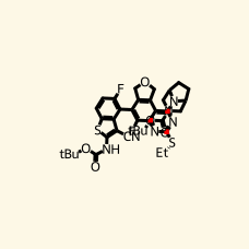 CCSc1nc(N2C3CCC2CN(C(=O)OC(C)(C)C)C3)c2c3c(c(-c4c(F)ccc5sc(NC(=O)OC(C)(C)C)c(C#N)c45)c(F)c2n1)COC3